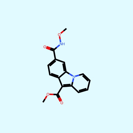 CONC(=O)c1ccc2c(C(=O)OC)c3ccccn3c2c1